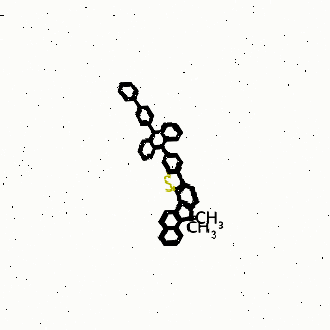 CC1(C)c2ccc3c(sc4cc(-c5c6ccccc6c(-c6ccc(-c7ccccc7)cc6)c6ccccc56)ccc43)c2-c2ccc3ccccc3c21